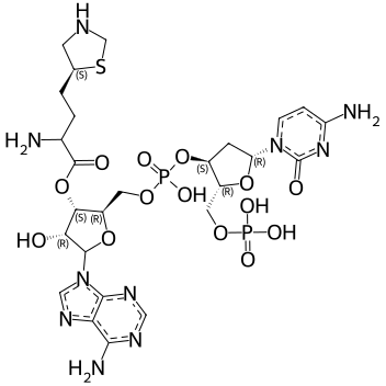 Nc1ccn([C@H]2C[C@H](OP(=O)(O)OC[C@H]3OC(n4cnc5c(N)ncnc54)[C@H](O)[C@@H]3OC(=O)C(N)CC[C@H]3CNCS3)[C@@H](COP(=O)(O)O)O2)c(=O)n1